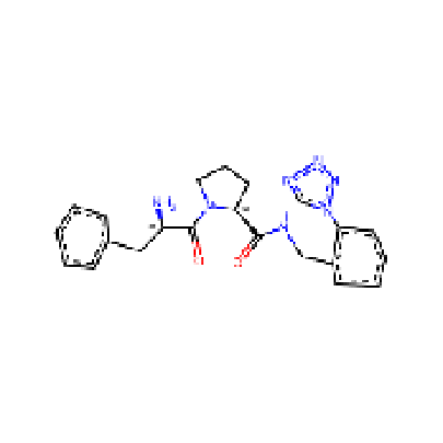 N[C@H](Cc1ccccc1)C(=O)N1CCC[C@H]1C(=O)NCc1ccccc1-n1cnnn1